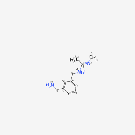 C/N=C(\C)NCc1cccc(CN)c1